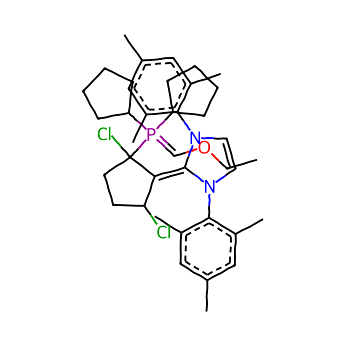 CCOC=P(C1CCCC1)(C1CCCC1)C1(Cl)CCC(Cl)C1=C1N(c2c(C)cc(C)cc2C)C=CN1c1c(C)cc(C)cc1C